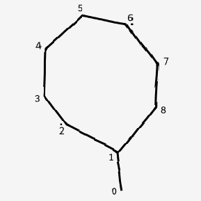 CC1[CH]CCC[CH]CC1